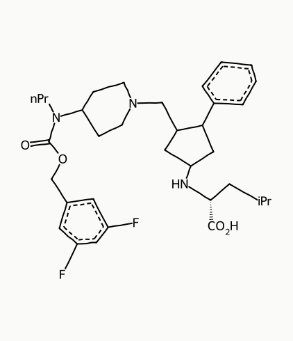 CCCN(C(=O)OCc1cc(F)cc(F)c1)C1CCN(CC2CC(N[C@H](CC(C)C)C(=O)O)CC2c2ccccc2)CC1